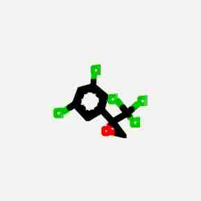 Clc1cc(Cl)cc(C2(C(Cl)(Cl)Cl)CO2)c1